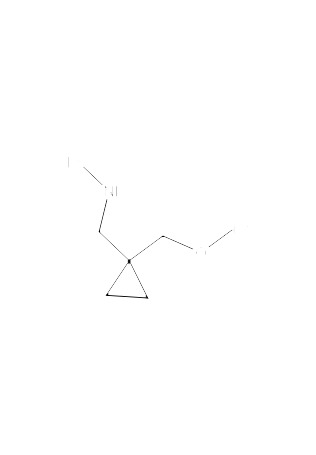 CC(C)NCC1(COC(C)C)CC1